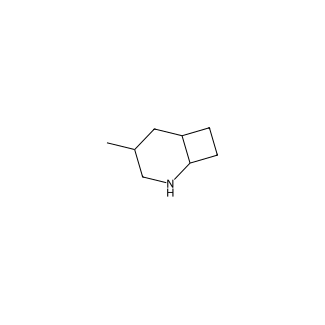 CC1CNC2CCC2C1